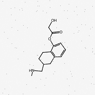 CNCC1CCc2c(cccc2OC(=O)CO)C1